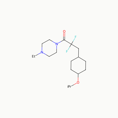 CCN1CCN(C(=O)C(F)(F)CC2CCC(OC(C)C)CC2)CC1